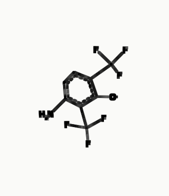 Nc1ccc(C(F)(F)F)c([O])c1C(F)(F)F